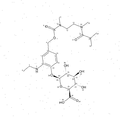 CCNc1cc(COC(=O)N(C)CCN(C)C(=O)C(C)C)ccc1O[C@@H]1O[C@H](C(=O)O)[C@@H](O)[C@H](O)[C@H]1O